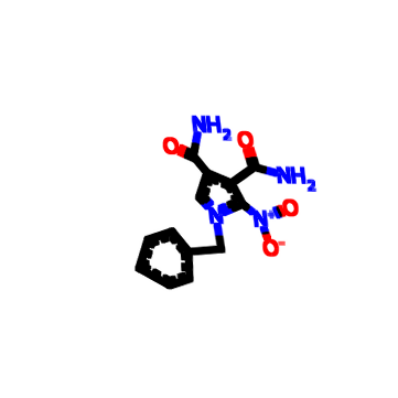 NC(=O)c1cn(Cc2ccccc2)c([N+](=O)[O-])c1C(N)=O